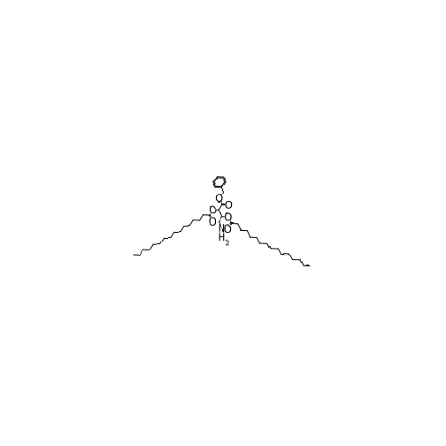 CCCCCCCCCCCCCCCC(=O)OC(CN)C(OC(=O)CCCCCCCCCCCCCCC)C(=O)OCc1ccccc1